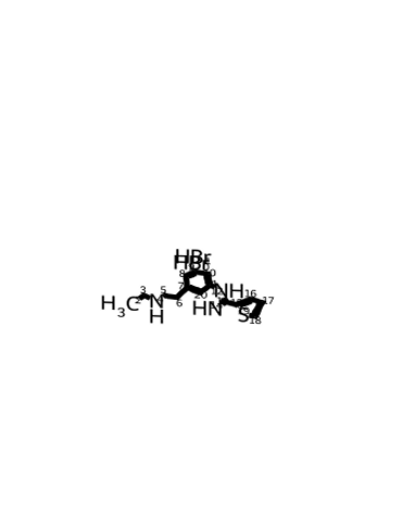 Br.Br.CCNCCc1cccc(NC(=N)c2cccs2)c1